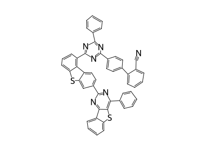 N#Cc1ccccc1-c1ccc(-c2nc(-c3ccccc3)nc(-c3cccc4sc5cc(-c6nc(-c7ccccc7)c7sc8ccccc8c7n6)ccc5c34)n2)cc1